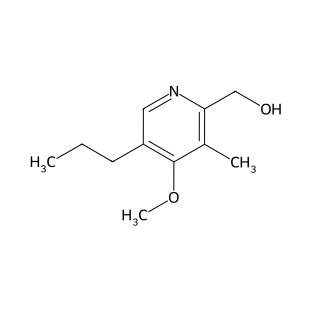 CCCc1cnc(CO)c(C)c1OC